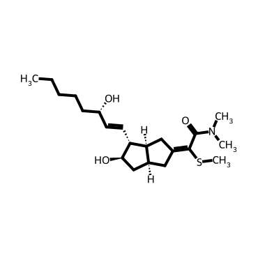 CCCCC[C@H](O)/C=C/[C@@H]1[C@H]2C/C(=C(/SC)C(=O)N(C)C)C[C@H]2C[C@H]1O